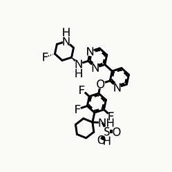 O=[SH](=O)NC1(c2c(F)cc(Oc3ncccc3-c3ccnc(N[C@@H]4CNC[C@@H](F)C4)n3)c(F)c2F)CCCCC1